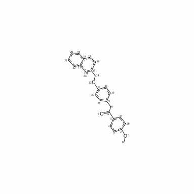 COc1ccc(C(=O)Cc2ccc(OCc3ccc4ccccc4n3)cc2)cc1